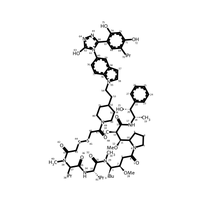 CC[C@H](C)C([C@@H](CC(=O)N1CCCC1[C@@H](OC)[C@@H](C)C(=O)N[C@@H](C)[C@H](O)c1ccccc1)OC)N(C)C(=O)[C@@H](NC(=O)C(C(C)C)N(C)C(=O)CSSCC(=O)N1CCC(CCn2ccc3cc(-n4c(O)nnc4-c4cc(C(C)C)c(O)cc4O)ccc32)CC1)C(C)C